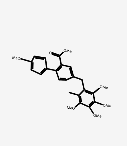 COC(=O)c1cc(Cc2c(C)c(OC)c(OC)c(OC)c2OC)ccc1-c1ccc(OC)cc1